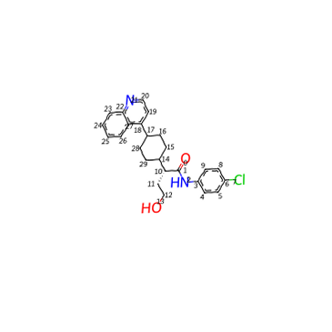 O=C(Nc1ccc(Cl)cc1)[C@H](CCO)C1CCC(c2ccnc3ccccc23)CC1